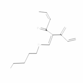 C=C(C=O)/C(=C/NCCCCC)C(=N)/C=C\C